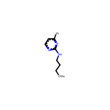 COCCCNc1nccc(C(C)C)n1